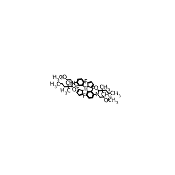 CCCC(C)(C)C(=O)N(CCOC)c1ccc(F)[c]([Ti]([c]2c(F)ccc(N(CCOC)C(=O)C(C)(C)CCC)c2F)([CH]2C=CC=C2)[CH]2C=CC=C2)c1F